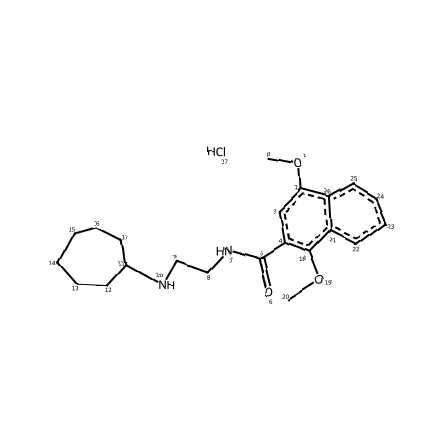 COc1cc(C(=O)NCCNC2CCCCCC2)c(OC)c2ccccc12.Cl